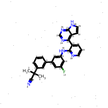 CC(C)(C#N)c1cccc(-c2cc(F)cc(Nc3ncccc3-c3ncnc4[nH]ccc34)c2)c1